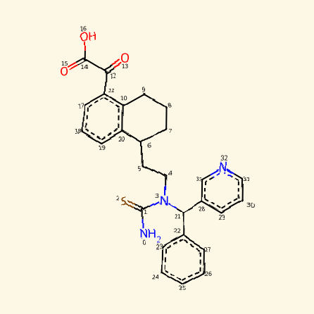 NC(=S)N(CCC1CCCc2c(C(=O)C(=O)O)cccc21)C(c1ccccc1)c1cccnc1